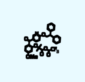 COc1ccc(C(=O)c2ccc(OCC(c3ccccc3)c3ccccc3)nc2)c(OC(C)(C)C(=O)OC(=O)C(F)(F)F)c1